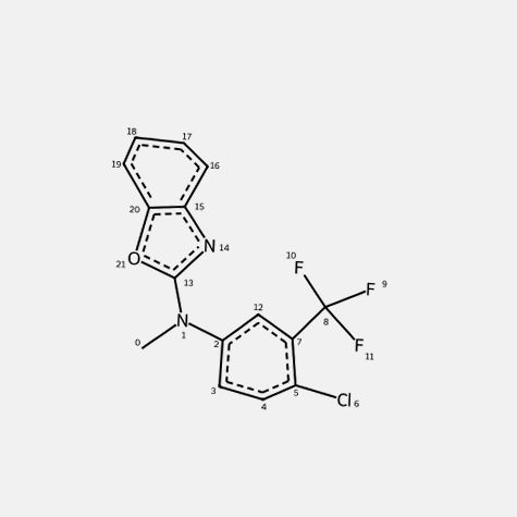 CN(c1ccc(Cl)c(C(F)(F)F)c1)c1nc2ccccc2o1